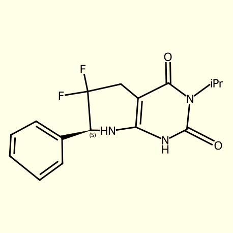 CC(C)n1c(=O)[nH]c2c(c1=O)CC(F)(F)[C@H](c1ccccc1)N2